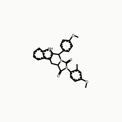 COc1ccc(C2c3[nH]c4ccccc4c3CC3C(=O)N(c4ccc(OC)cc4C)C(=S)N32)cc1